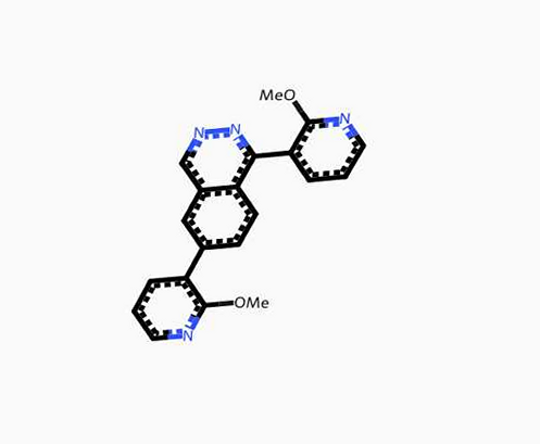 COc1ncccc1-c1ccc2c(-c3cccnc3OC)nncc2c1